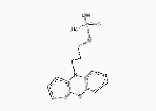 O=P(O)(O)OCCCN1c2ccccc2Sc2ccccc21